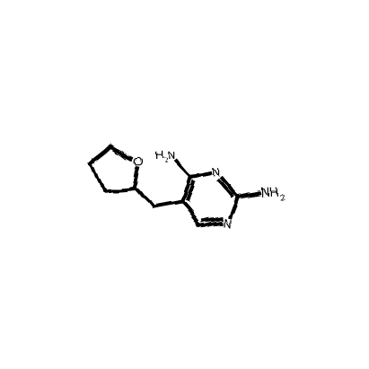 Nc1ncc(CC2CCCO2)c(N)n1